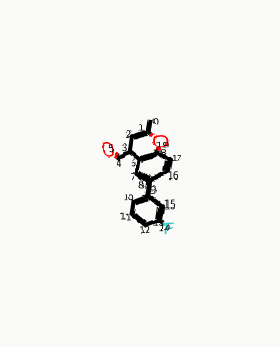 CC1=CC(C=O)c2cc(-c3cccc(F)c3)ccc2O1